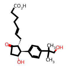 CC(C)(CO)c1ccc([C@H]2[C@H](O)CC(=O)[C@@H]2CC=CCCCC(=O)O)cc1